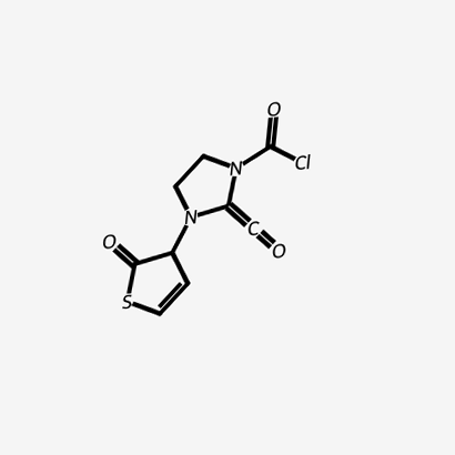 O=C=C1N(C(=O)Cl)CCN1C1C=CSC1=O